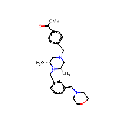 COC(=O)c1ccc(CN2C[C@@H](C)N(Cc3cccc(CN4CCOCC4)c3)[C@@H](C)C2)cc1